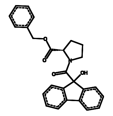 O=C(OCc1ccccc1)[C@@H]1CCCN1C(=O)C1(O)c2ccccc2-c2ccccc21